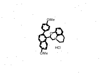 COc1ccc(-c2ccc3cc(OC)ccc3c2C(CN2CCCCC2)Oc2ccccc2)cc1.Cl